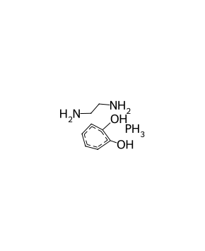 NCCN.Oc1ccccc1O.P